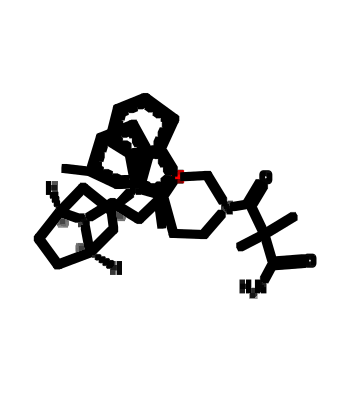 Cc1cccc(C2(CCN3[C@@H]4CC[C@H]3C[C@@H](n3c(C)nc5ccccc53)C4)CCN(C(=O)C(C)(C)C(N)=O)CC2)c1